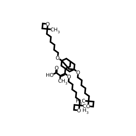 CC(C(=O)O)=C(OCCCCCCC1(C)CCO1)C12CC3CC(OCCCCCCC4(C)CCO4)(CC(OCCCCCCC4(C)CCO4)(C3)C1)C2